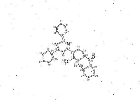 Cc1c(-c2nc(-c3ccccc3)nc(-c3ccccc3)n2)ccc2c1Nc1ccccc1[S+]2[O-]